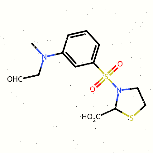 CN(CC=O)c1cccc(S(=O)(=O)N2CCSC2C(=O)O)c1